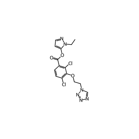 CCn1nccc1OC(=O)c1ccc(Cl)c(OCCn2cnnn2)c1Cl